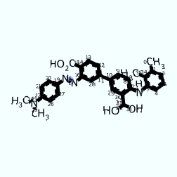 Cc1cccc(Nc2ccc(-c3ccc(C(=O)O)c(/N=N/c4ccc(N(C)C)cc4)c3)cc2C(O)O)c1C